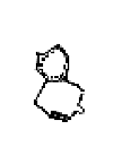 C1=COCc2ccccc2C1